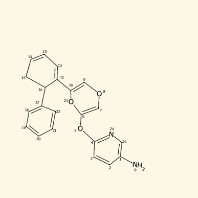 Nc1ccc(OC2=COC=C(C3=CC=CCC3c3ccccc3)O2)nc1